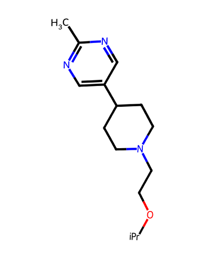 Cc1ncc(C2CCN(CCOC(C)C)CC2)cn1